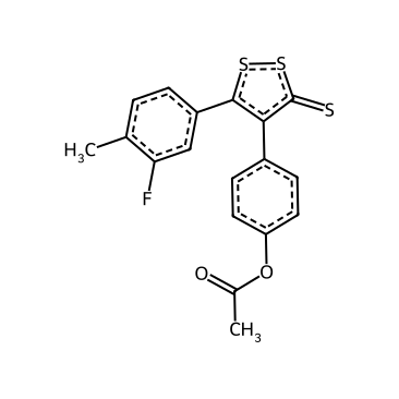 CC(=O)Oc1ccc(-c2c(-c3ccc(C)c(F)c3)ssc2=S)cc1